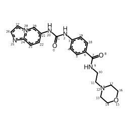 O=C(Nc1ccc(C(=O)NCCN2CCOCC2)cc1)Nc1ccc2nccn2c1